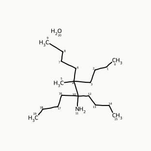 CCCCC(C)(CCCC)C(N)(CCCC)CCCC.O